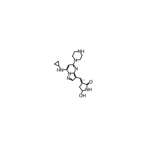 O=C1NC(O)C/C1=C\c1cnn2c(NC3CC3)cc(N3CCNCC3)nc12